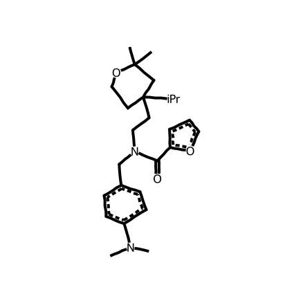 CC(C)C1(CCN(Cc2ccc(N(C)C)cc2)C(=O)c2ccco2)CCOC(C)(C)C1